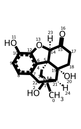 C[N+]1(O)CC[C@]23c4c5ccc(O)c4O[C@H]2C(=O)CC[C@@]3(O)[C@H]1C5